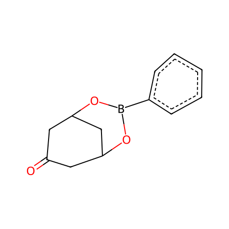 O=C1CC2CC(C1)OB(c1ccccc1)O2